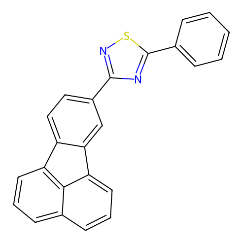 c1ccc(-c2nc(-c3ccc4c(c3)-c3cccc5cccc-4c35)ns2)cc1